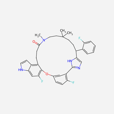 CN1CCC(C)(C)CCC(c2ccccc2F)c2cnc([nH]2)-c2cc(ccc2F)Oc2c(F)cc3[nH]ccc3c2CCC1=O